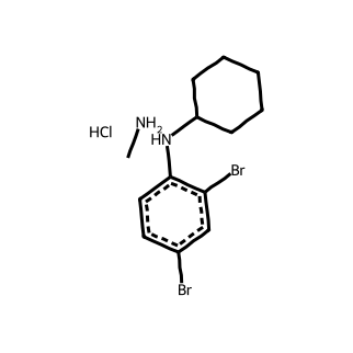 Brc1ccc(NC2CCCCC2)c(Br)c1.CN.Cl